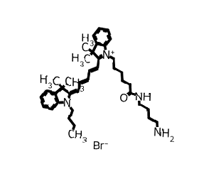 CCCCN1/C(=C/C=C/C=C/C2=[N+](CCCCCC(=O)NCCCCN)c3ccccc3C2(C)C)C(C)(C)c2ccccc21.[Br-]